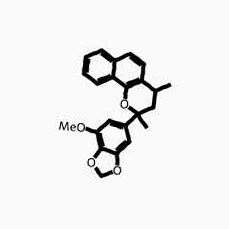 COc1cc(C2(C)CC(C)c3ccc4ccccc4c3O2)cc2c1OCO2